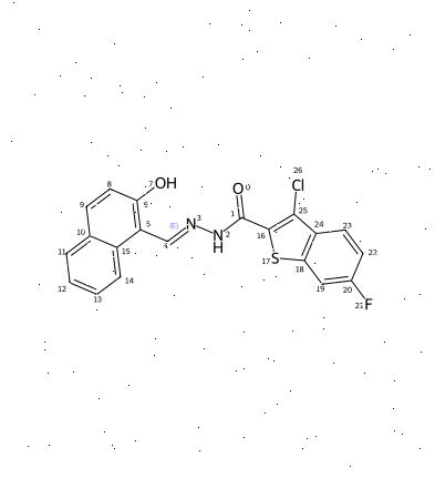 O=C(N/N=C/c1c(O)ccc2ccccc12)c1sc2cc(F)ccc2c1Cl